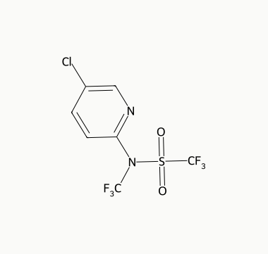 O=S(=O)(N(c1ccc(Cl)cn1)C(F)(F)F)C(F)(F)F